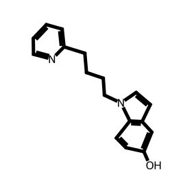 Oc1ccc2c(ccn2CCCCc2ccccn2)c1